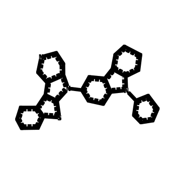 c1ccc(-n2c3ccccc3c3cc(-n4c5ccncc5c5c6ccccc6sc54)ccc32)cc1